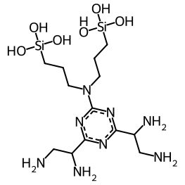 NCC(N)c1nc(C(N)CN)nc(N(CCC[Si](O)(O)O)CCC[Si](O)(O)O)n1